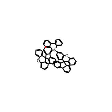 C1=CC2c3ccccc3C3(c4ccccc4Oc4cc(N(c5ccccc5-c5ccccc5)c5cccc6c5-c5ccccc5C65c6ccccc6Oc6ccccc65)ccc43)C2C=C1